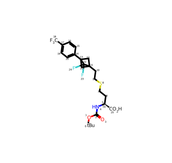 CC(C)(C)OC(=O)N[C@@H](CCSCCC12CC(c3ccc(C(F)(F)F)cc3)(C1)C2(F)F)C(=O)O